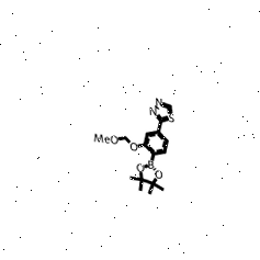 COCOc1cc(-c2nncs2)ccc1B1OC(C)(C)C(C)(C)O1